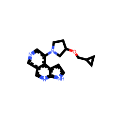 c1cc2c(ncc3cncc(N4CCC(OCC5CC5)C4)c32)[nH]1